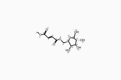 COC(=O)/C=C/C(=O)OC[C@H]1OC(O)[C@H](O)[C@@H](O)[C@H]1O